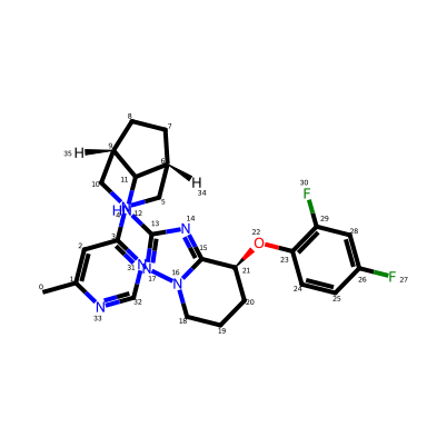 Cc1cc(N2C[C@H]3CC[C@@H](C2)C3Nc2nc3n(n2)CCC[C@@H]3Oc2ccc(F)cc2F)ncn1